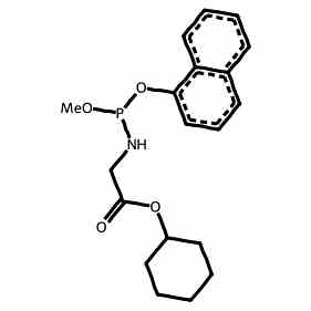 COP(NCC(=O)OC1CCCCC1)Oc1cccc2ccccc12